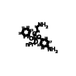 CCCO[Si](OCCN)(Oc1ccccc1)Oc1ccc(N)cc1